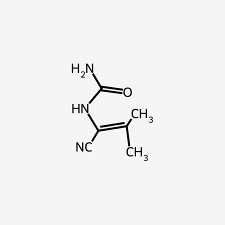 CC(C)=C(C#N)NC(N)=O